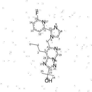 CCCc1c(Cn2ccnc2-c2cccc(F)n2)ncn2nc(C(C)(C)O)nc12